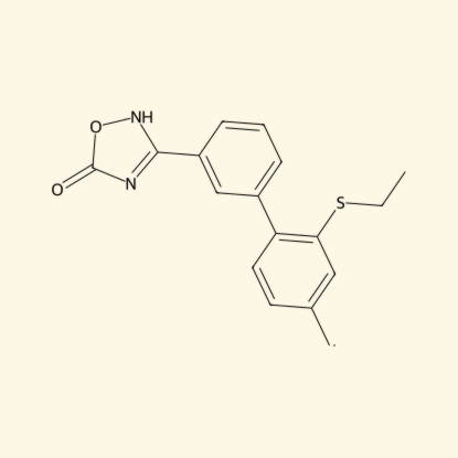 [CH2]c1ccc(-c2cccc(-c3nc(=O)o[nH]3)c2)c(SCC)c1